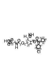 O.O=C(COCC1CCC(COC(=O)N(c2ccccc2)c2ccc(Cl)cc2)CC1)NCCS(=O)(=O)O.[KH]